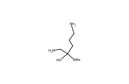 CNC(O)(CN)CCCN